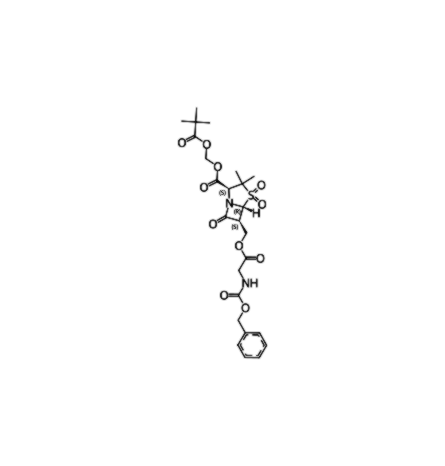 CC(C)(C)C(=O)OCOC(=O)[C@@H]1N2C(=O)[C@H](COC(=O)CNC(=O)OCc3ccccc3)[C@H]2S(=O)(=O)C1(C)C